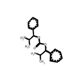 CC(N)C(OC(=O)OC(c1ccccc1)C(C)N)c1ccccc1